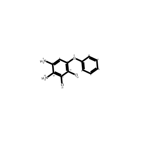 Nc1cc(Oc2ccccc2)c(Cl)c(Cl)c1N